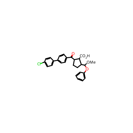 COC(Oc1ccccc1)C1CCC(C(=O)c2ccc(-c3ccc(Cl)cc3)cc2)C1C(=O)O